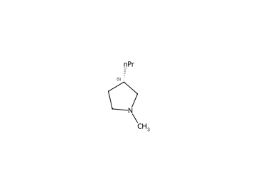 CCC[C@H]1CCN(C)C1